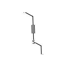 [CH2]CC#CSC[CH2]